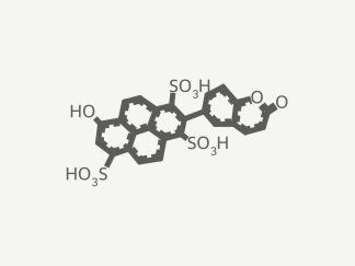 O=c1ccc2cc(-c3c(S(=O)(=O)O)c4ccc5c(O)cc(S(=O)(=O)O)c6ccc(c3S(=O)(=O)O)c4c56)ccc2o1